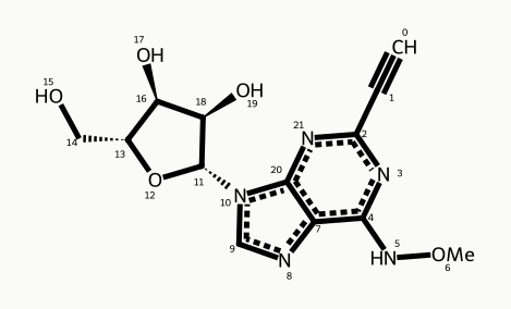 C#Cc1nc(NOC)c2ncn([C@@H]3O[C@H](CO)[C@@H](O)[C@H]3O)c2n1